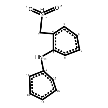 O=[SH](=O)Cc1ccccc1Nc1ccccc1